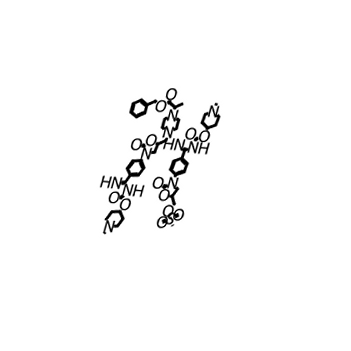 CC(C(=O)OCc1ccccc1)N1CCN(CC2CN(c3ccc(C(=N)NC(=O)OC4CCN(C)CC4)cc3)C(=O)O2)CC1.CN1CCC(OC(=O)NC(=N)c2ccc(N3CC(COS(C)(=O)=O)OC3=O)cc2)CC1